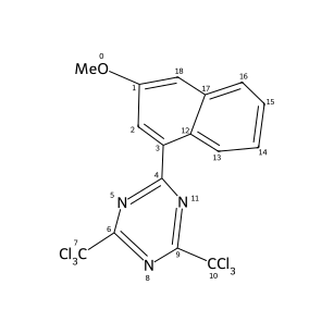 COc1cc(-c2nc(C(Cl)(Cl)Cl)nc(C(Cl)(Cl)Cl)n2)c2ccccc2c1